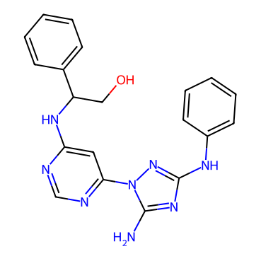 Nc1nc(Nc2ccccc2)nn1-c1cc(NC(CO)c2ccccc2)ncn1